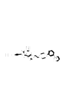 CC#Cc1nc2c3ncn(CCN4CCN(c5cc(-n6cccn6)ccc5F)CC4)c3nc(N)n2n1